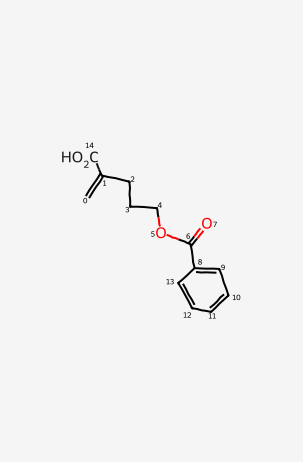 C=C(CCCOC(=O)c1ccccc1)C(=O)O